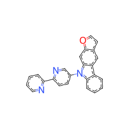 c1ccc(-c2ccc(-n3c4ccccc4c4cc5ccoc5cc43)cn2)nc1